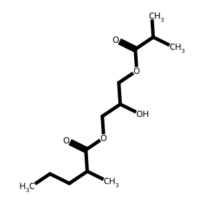 CCCC(C)C(=O)OCC(O)COC(=O)C(C)C